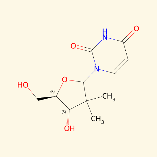 CC1(C)C(n2ccc(=O)[nH]c2=O)O[C@H](CO)[C@H]1O